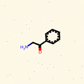 NCC(=O)c1cc[c]cc1